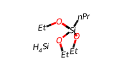 CCC[Si](OCC)(OCC)OCC.[SiH4]